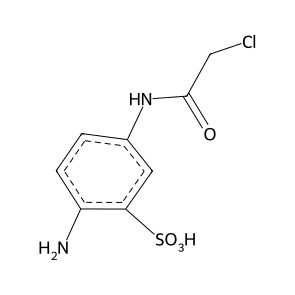 Nc1ccc(NC(=O)CCl)cc1S(=O)(=O)O